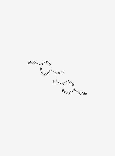 COc1ccc(NC(=S)c2ccc(OC)cc2)cc1